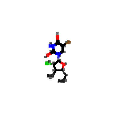 CC(=O)OC[C@H]1O[C@@H](n2cc(Br)c(=O)[nH]c2=O)[C@@H](Cl)[C@@H]1OC(C)=O